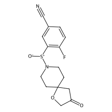 N#Cc1ccc(F)c([S+]([O-])N2CCC3(CC2)CC(=O)CO3)c1